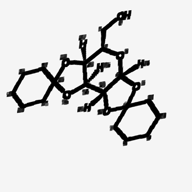 OC[C@H]1O[C@@H]2OC3(CCCCC3)O[C@@H]2[C@H]2OC3(CCCCC3)O[C@H]21